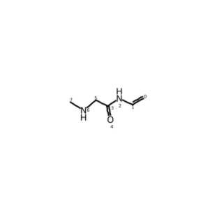 C=CNC(=O)CNC